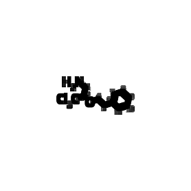 NCC(OCCc1ccccc1)C(Cl)(Cl)Cl